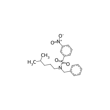 CC(C)CCCN(Cc1ccccc1)S(=O)(=O)c1cccc([N+](=O)[O-])c1